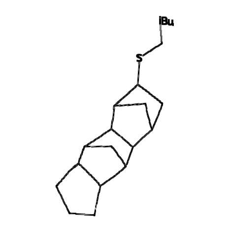 CCC(C)CSC1CC2CC1C1C3CC(C4CCCC43)C21